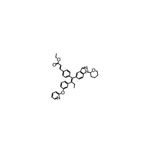 CCOC(=O)/C=C/c1ccc(/C(=C(/CC)c2cccc(Oc3ccccn3)c2)c2ccc3c(cnn3C3CCCCO3)c2)cc1